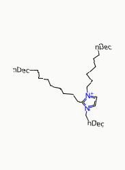 CCCCCCCCCCCCCCCCCCc1n(CCCCCCCCCCC)cc[n+]1CCCCCCCCCCCCCCCC